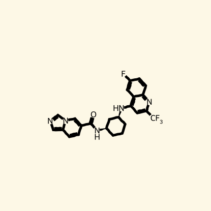 O=C(N[C@@H]1CCC[C@H](Nc2cc(C(F)(F)F)nc3ccc(F)cc23)C1)c1ccc2cncn2c1